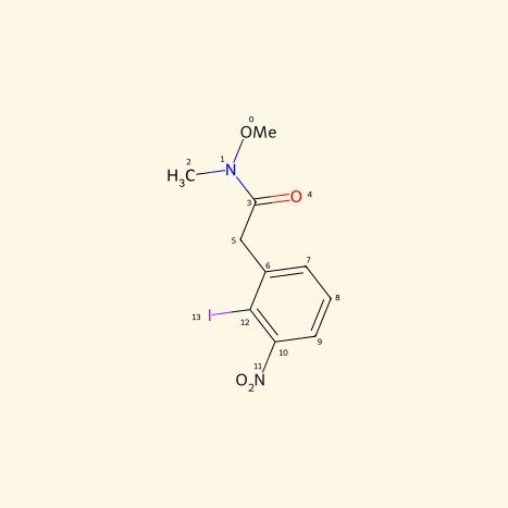 CON(C)C(=O)Cc1cccc([N+](=O)[O-])c1I